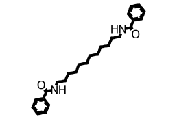 O=C(NCCCCCCCCCCCCNC(=O)c1ccccc1)c1ccccc1